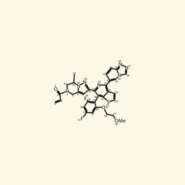 C=CC(=O)N1Cc2cc(-c3nc(-c4ccc5nncn5c4)c4ccsc4c3-c3c(F)cc(F)cc3OCCOC)nn2C(C)C1